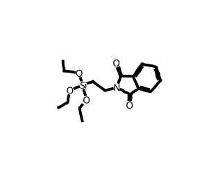 CCO[Si](CCN1C(=O)c2ccccc2C1=O)(OCC)OCC